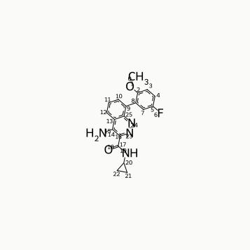 COc1ccc(F)cc1-c1cccc2c(N)c(C(=O)NC3CC3)nnc12